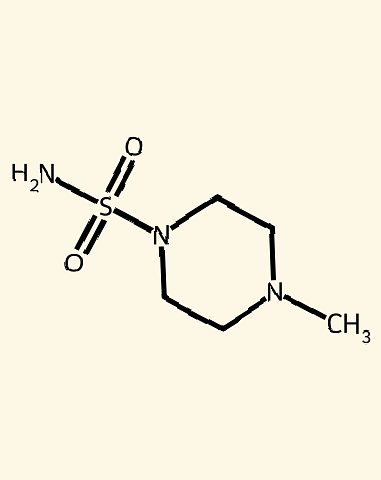 CN1CCN(S(N)(=O)=O)CC1